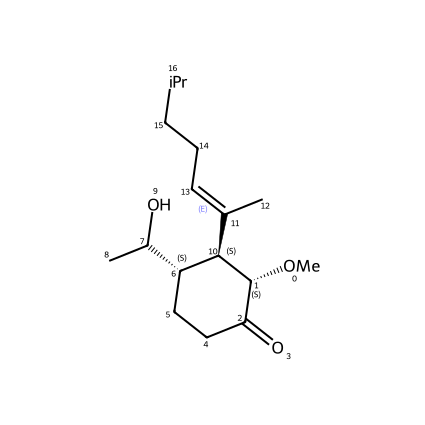 CO[C@@H]1C(=O)CC[C@H](C(C)O)[C@H]1/C(C)=C/CCC(C)C